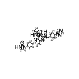 O=C1NCCN1c1ccc(-c2ccc3nc(NCc4ccc(-n5cncn5)cc4)nc(NC4(C(F)(F)F)CC4)c3n2)cc1